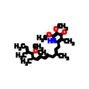 C/C=C(\C)[C@H](OC)[C@H](C)/C=C(C)/C=C/C/C(C)=C/Cc1[nH]c(OC)c(OC)c(=O)c1C